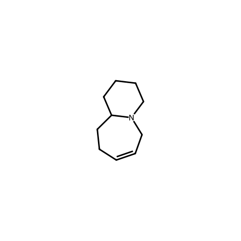 C1=CCN2CCCCC2CC1